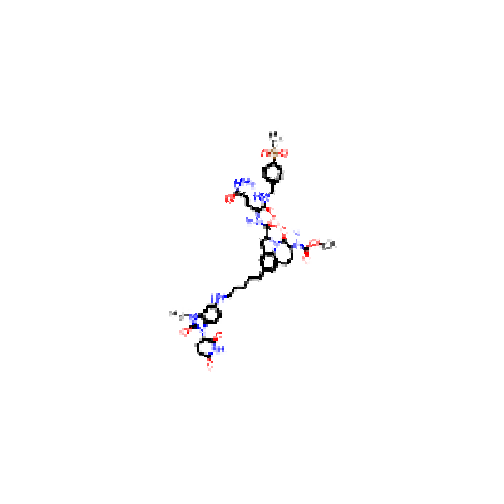 Cn1c(=O)n(C2CCC(=O)NC2=O)c2ccc(NCCCCCc3cc4c5c(c3)C[C@@H](C(=O)NC(CCC(N)=O)C(=O)NCc3ccc(S(C)(=O)=O)cc3)N5C(=O)[C@@H](NC(=O)OC(C)(C)C)CC4)cc21